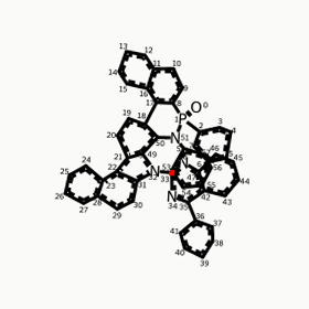 O=P1(c2ccccc2)c2ccc3ccccc3c2-c2ccc3c4c5ccccc5ccc4n(-c4nc(-c5ccccc5)c5ccccc5n4)c3c2N1c1ccccc1